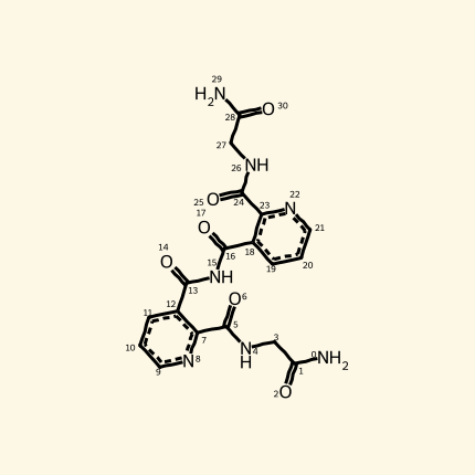 NC(=O)CNC(=O)c1ncccc1C(=O)NC(=O)c1cccnc1C(=O)NCC(N)=O